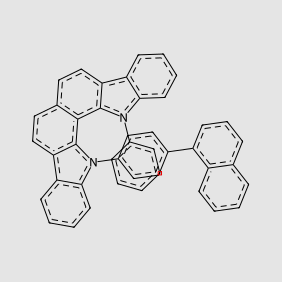 c1ccc(-n2c3ccccc3c3ccc4ccc5c6ccccc6n(-c6ccc(-c7cccc8ccccc78)cc6)c5c4c32)cc1